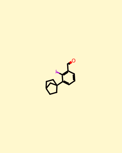 O=Cc1cccc(C23CCC(CC2)C3)c1I